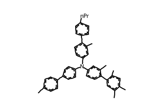 CCCc1ccc(-c2ccc(N(c3ccc(-c4ccc(C)cc4)cc3)c3ccc(-c4cc(C)c(C)cc4C)c(C)c3)cc2C)cc1